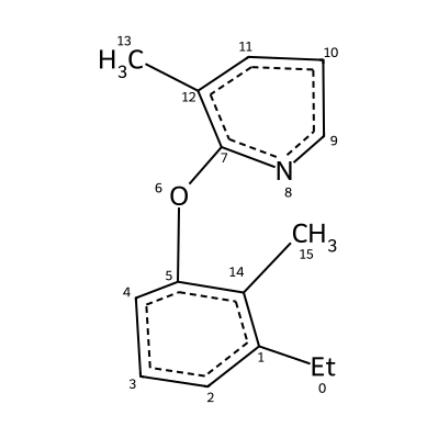 CCc1cccc(Oc2ncccc2C)c1C